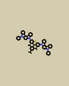 CC(C)c1cc(C(C)C)c(B2c3ccc(-n4c5ccccc5c5c6c7ccccc7n(-c7ccccc7)c6ccc54)cc3Sc3cc(-n4c5ccccc5c5c6c7ccccc7n(-c7ccccc7)c6ccc54)ccc32)c(C(C)C)c1